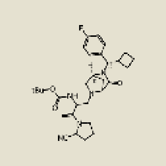 C=C(C(CN1C[C@@H]2CC1C(=O)N2[C@H](c1ccc(F)cc1)C1CCC1)NC(=O)OC(C)(C)C)N1CCCC1C#N